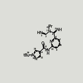 CC(C)N(C=N)C(=N)c1cccc(NC(=O)c2cnn(C(C)(C)C)c2)n1